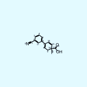 N#Cc1cccc(C2=CCC(F)(C(=O)O)C=C2)c1